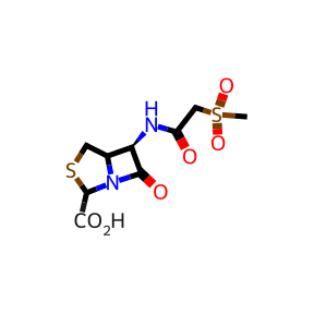 CS(=O)(=O)CC(=O)N[C@H]1C(=O)N2C(C(=O)O)SCC12